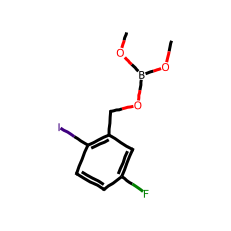 COB(OC)OCc1cc(F)ccc1I